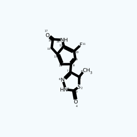 CC1SC(=O)NN=C1c1cc(F)c2c(c1)CC(=O)N2